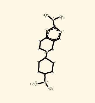 CN(C)c1ncc2c(n1)CCN(C1CCC(N(C)C(=O)O)CC1)C2